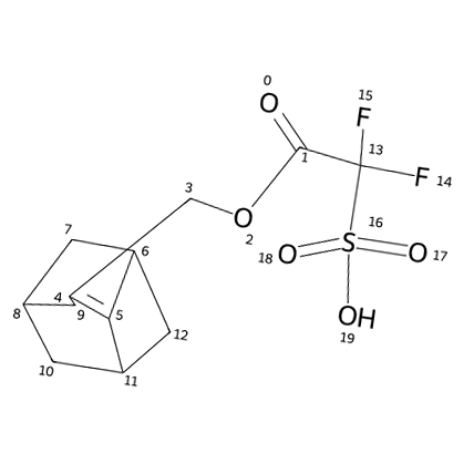 O=C(OCC1=C2C3CC(C1)CC2C3)C(F)(F)S(=O)(=O)O